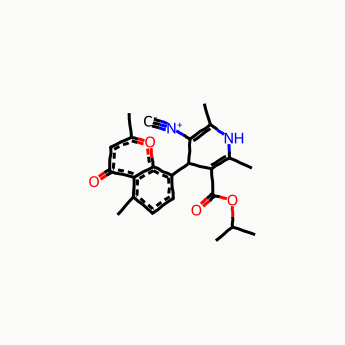 [C-]#[N+]C1=C(C)NC(C)=C(C(=O)OC(C)C)C1c1ccc(C)c2c(=O)cc(C)oc12